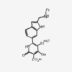 CCNCc1cc2ccc(-c3[nH]c(=O)c(C(=O)O)c(O)c3CC)cc2[nH]1.Cl